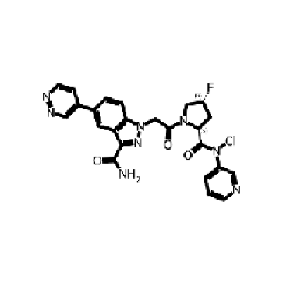 NC(=O)c1nn(CC(=O)N2C[C@H](F)C[C@H]2C(=O)N(Cl)c2cccnc2)c2ccc(-c3ccnnc3)cc12